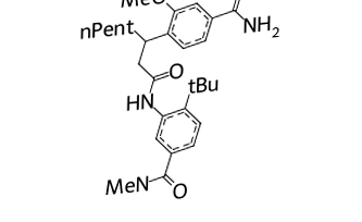 CCCCCC(CC(=O)Nc1cc(C(=O)NC)ccc1C(C)(C)C)c1ccc(C(N)=O)cc1OC